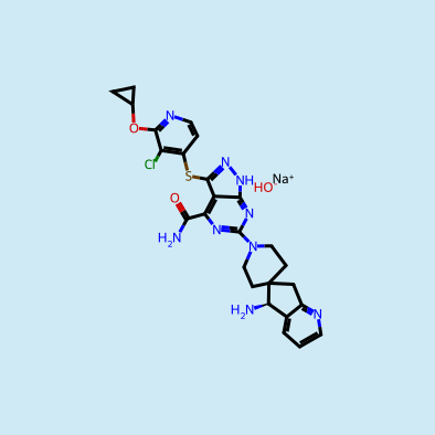 NC(=O)c1nc(N2CCC3(CC2)Cc2ncccc2[C@H]3N)nc2[nH]nc(Sc3ccnc(OC4CC4)c3Cl)c12.[Na+].[OH-]